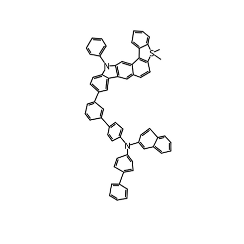 CS1(C)c2ccccc2-c2c1ccc1cc3c4cc(-c5cccc(-c6ccc(N(c7ccc(-c8ccccc8)cc7)c7ccc8ccccc8c7)cc6)c5)ccc4n(-c4ccccc4)c3cc21